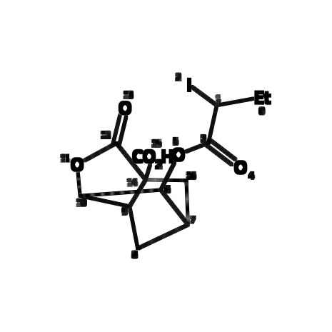 CCC(I)C(=O)OC1C2CC3C1OC(=O)C3(C(=O)O)C2